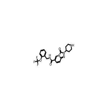 O=C(NCc1ccccc1OC(F)(F)F)c1ccc2nn(C3CCNCC3)c(=O)n2c1